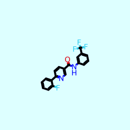 O=C(Nc1cccc(C(F)(F)F)c1)c1ccc(-c2ccccc2F)nc1